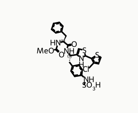 COC(=O)N[C@@H](Cc1ccccc1)C(=O)N[C@@H](Cc1ccc(NS(=O)(=O)O)cc1)C1=CSC(c2sccc2Cl)N1